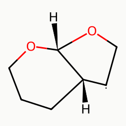 [CH]1CO[C@H]2OCCC[C@@H]12